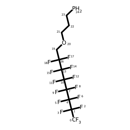 FC(F)(F)C(F)(F)C(F)(F)C(F)(F)C(F)(F)C(F)(F)C(F)(F)COCCCP